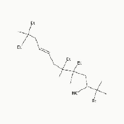 CCC(C)(CC)CC=CCC(C)(CC)C(C)(CC)CC(C#N)C(C)(C)CC